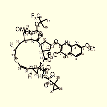 CCOc1ccc2nc(C(F)(F)F)c(O[C@@H]3C[C@H]4C(=O)N[C@]5(C(=O)NS(=O)(=O)C6(C)CC6)C[C@H]5/C=C\CC[C@H](C)C[C@@H](COC)[C@H](NC(=O)OC(C)(C)C(F)(F)F)C(=O)N4C3)nc2c1